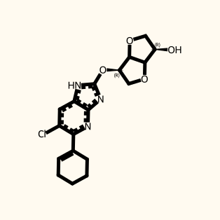 O[C@@H]1COC2C1OC[C@H]2Oc1nc2nc(C3=CCCCC3)c(Cl)cc2[nH]1